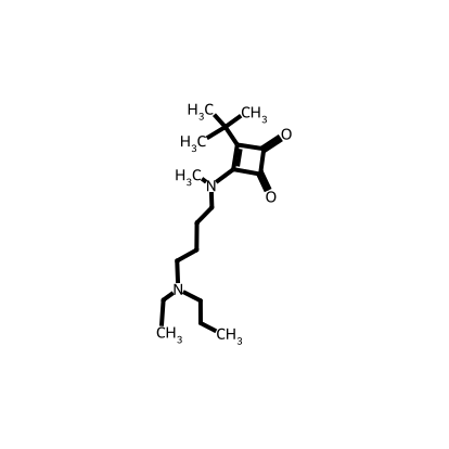 CCCN(CC)CCCCN(C)c1c(C(C)(C)C)c(=O)c1=O